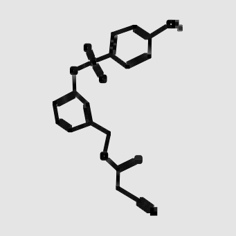 Cc1ccc(S(=O)(=O)Oc2cccc(COC(=O)CC#N)c2)cc1